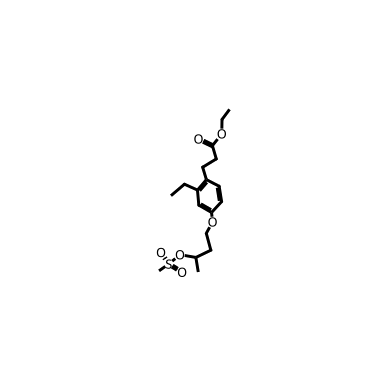 CCOC(=O)CCc1ccc(OCCC(C)OS(C)(=O)=O)cc1CC